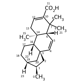 C[C@@H]1C[C@]23C=C[C@H]4C(C)(C)C(C(=O)O)=CC[C@]4(C)[C@H]2CC[C@@H]1C3